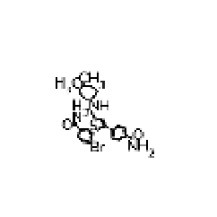 CC1(C)CCC(NCc2cc(-c3ccc(C(N)=O)cc3)cs2)CC1.NC(=O)c1ccc(Br)cc1